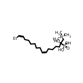 CC/C=C\CCCCCC/C=C\CCCCC(O)(C[N+](C)(C)C)P(=O)(O)O